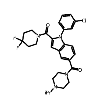 CC(C)N1CCN(C(=O)c2ccc3c(c2)cc(C(=O)N2CCC(F)(F)CC2)n3-c2cccc(Cl)c2)CC1